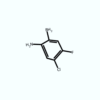 Bc1cc(F)c(Cl)cc1N